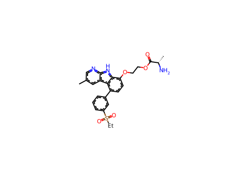 CCS(=O)(=O)c1cccc(-c2ccc(OCCOC(=O)[C@H](C)N)c3[nH]c4ncc(C)cc4c23)c1